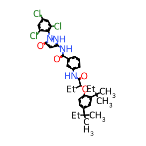 CCC(Oc1ccc(C(C)(C)CC)cc1C(C)(C)CC)C(=O)Nc1cccc(C(=O)Nc2cc(=O)n(-c3c(Cl)cc(Cl)cc3Cl)[nH]2)c1